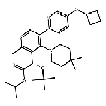 Cc1ncc(-c2ccc(OC3CCC3)cn2)c(N2CCC(C)(C)CC2)c1[C@H](OC(C)(C)C)C(=O)OC(C)C